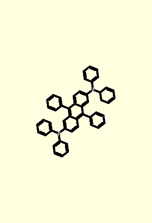 C1=CCC(N(c2ccccc2)c2ccc3c(-c4ccccc4)c4cc(N(c5ccccc5)c5ccccc5)ccc4c(-c4ccccc4)c3c2)C=C1